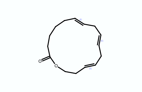 O=C1CCCC/C=C/C/C=C/C/C=C/CCO1